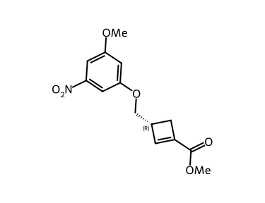 COC(=O)C1=C[C@H](COc2cc(OC)cc([N+](=O)[O-])c2)C1